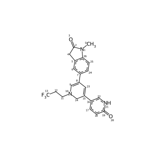 CN1C(=O)Cc2cc(C3=CN(CCC(F)(F)F)CC(c4ccc(=O)[nH]c4)=C3)ccc21